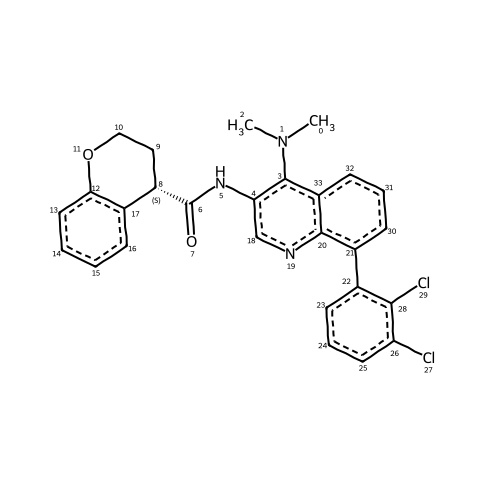 CN(C)c1c(NC(=O)[C@H]2CCOc3ccccc32)cnc2c(-c3cccc(Cl)c3Cl)cccc12